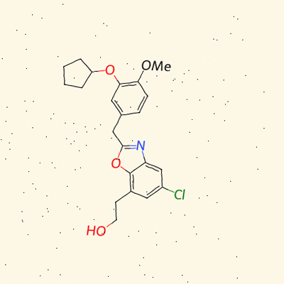 COc1ccc(Cc2nc3cc(Cl)cc(CCO)c3o2)cc1OC1CCCC1